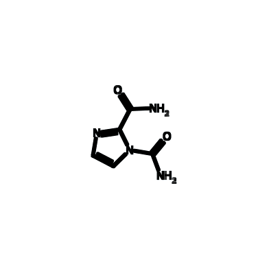 NC(=O)c1nccn1C(N)=O